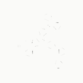 CC1(C)c2ccccc2-c2cc3c(cc21)c1ccc(-n2c4ccccc4c4ccccc42)cc1n3-c1ccc(-c2cccc3c2oc2ccccc23)cc1